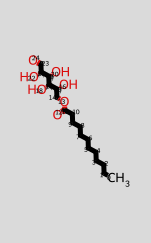 CCCCCCCCCCCC(=O)OC[C@@H](O)[C@@H](O)[C@H](O)[C@@H](O)C=O